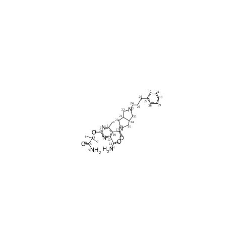 Cc1nc(OC(C)(C)C(N)=O)nc(C(N)=O)c1C(=O)N1CC2CN(CC[CH]c3ccccc3)CC2C1